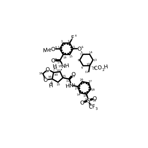 COc1cc(F)c(O[C@H]2CC[C@@](C)(C(=O)O)CC2)cc1C(=O)N[C@@H]1C(C(=O)Nc2cccc(S(=O)(=O)C(F)(F)F)c2)C[C@H]2OCO[C@@H]12